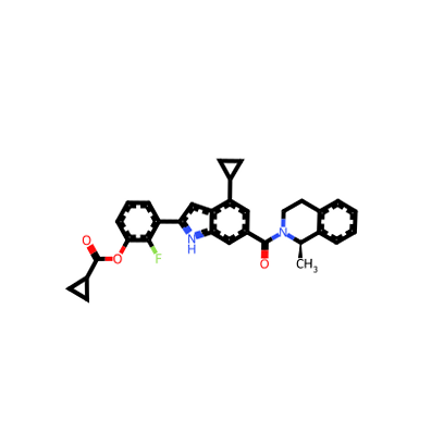 C[C@@H]1c2ccccc2CCN1C(=O)c1cc(C2CC2)c2cc(-c3cccc(OC(=O)C4CC4)c3F)[nH]c2c1